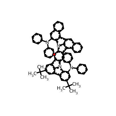 CC(C)(C)c1cc(N(c2ccccc2)c2ccccc2)c2c(c1)c1cc(C(C)(C)C)cc3c4cc5c(cc4n2c31)c1c2ccccc2cc2c3c4ccccc4cc(N(c4ccccc4)c4ccccc4)c3n5c21